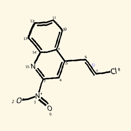 O=[N+]([O-])c1cc(/C=C/Cl)c2ccccc2n1